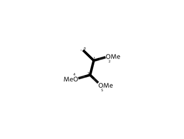 [CH2]C(OC)C(OC)OC